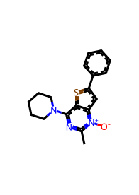 Cc1nc(N2CCCCC2)c2sc(-c3ccccc3)cc2[n+]1[O-]